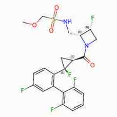 COCS(=O)(=O)NC[C@@H]1[C@H](F)CN1C(=O)[C@@H]1C[C@@]1(F)c1ccc(F)cc1-c1c(F)cccc1F